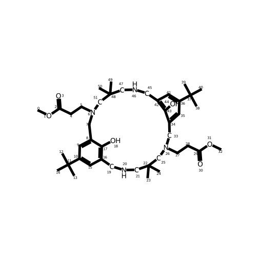 COC(=O)CCN1Cc2cc(C(C)(C)C)cc(c2O)CNCC(C)(C)CN(CCC(=O)OC)Cc2cc(C(C)(C)C)cc(c2O)CNCC(C)(C)C1